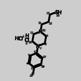 Cl.Cl.Fc1ccc(N2CCN(CCCS)CC2)cc1